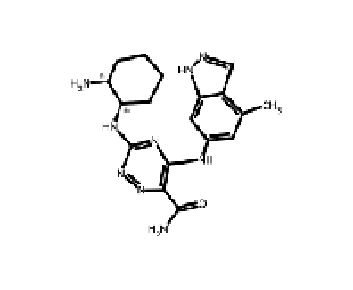 Cc1cc(Nc2nc(N[C@@H]3CCCC[C@@H]3N)nnc2C(N)=O)cc2[nH]ncc12